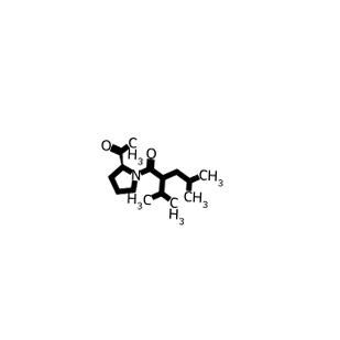 CC(=O)[C@@H]1CCCN1C(=O)C(CC(C)C)C(C)C